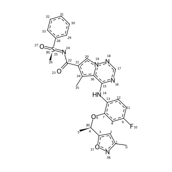 Cc1cc([C@@H](C)Oc2cc(F)ccc2Nc2ncnn3cc(C(=O)N=[S@](C)(=O)c4ccccc4)c(C)c23)on1